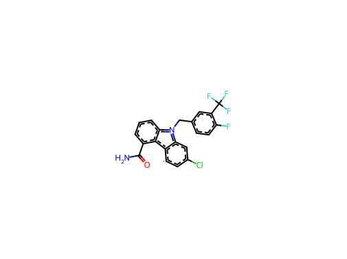 NC(=O)c1cccc2c1c1[c]cc(Cl)cc1n2Cc1ccc(F)c(C(F)(F)F)c1